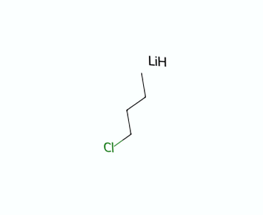 CCCCCl.[LiH]